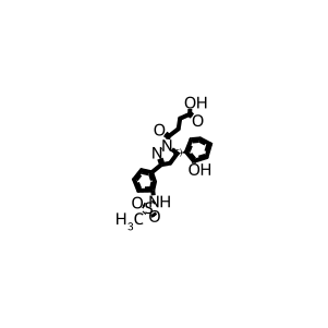 CS(=O)(=O)Nc1cccc(C2=NN(C(=O)CCC(=O)O)[C@H](c3ccccc3O)C2)c1